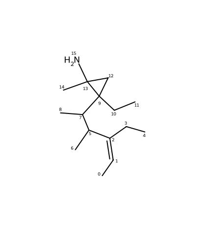 C/C=C(/CC)C(C)C(C)C1(CC)CC1(C)N